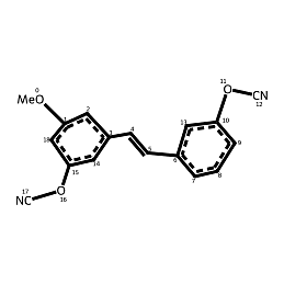 COc1cc(/C=C/c2cccc(OC#N)c2)cc(OC#N)c1